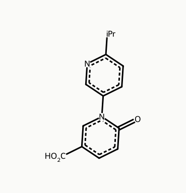 CC(C)c1ccc(-n2cc(C(=O)O)ccc2=O)cn1